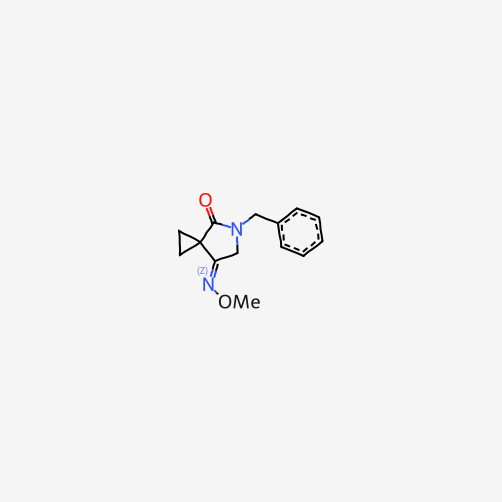 CO/N=C1\CN(Cc2ccccc2)C(=O)C12CC2